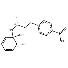 CC[C@@H]1C=CC=CC1(O)N[C@H](C)CCc1ccc(C(N)=O)cc1